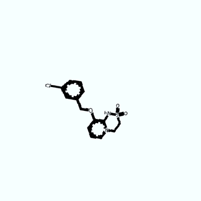 O=S1(=O)CC[n+]2cccc(OCc3cccc(Cl)c3)c2N1